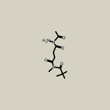 CC(=O)N(N)C(=O)CCC(=O)N(C)C(=O)C(C)(C)C